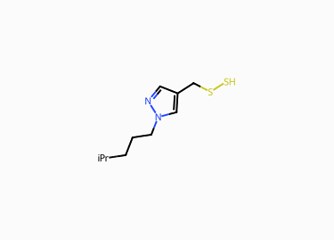 CC(C)CCCn1cc(CSS)cn1